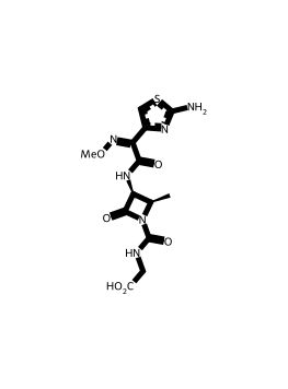 CO/N=C(\C(=O)N[C@@H]1C(=O)N(C(=O)NCC(=O)O)[C@@H]1C)c1csc(N)n1